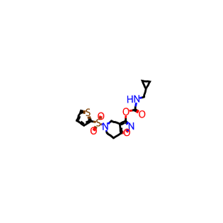 O=C(NCC1CC1)Oc1noc2c1CN(S(=O)(=O)c1cccs1)CC2